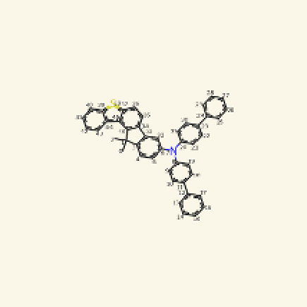 CC1(C)c2ccc(N(c3ccc(-c4ccccc4)cc3)c3ccc(-c4ccccc4)cc3)cc2-c2ccc3sc4ccccc4c3c21